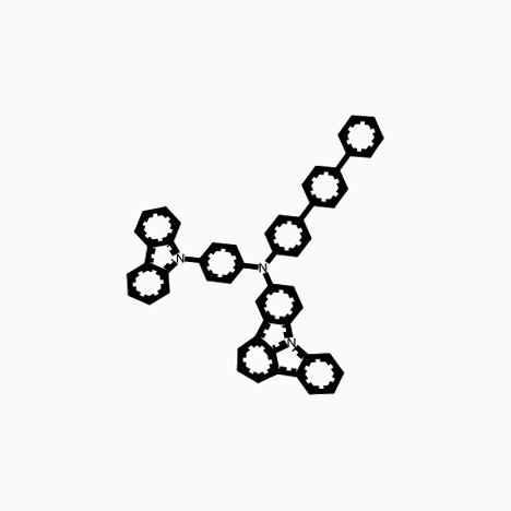 c1ccc(-c2ccc(-c3ccc(N(c4ccc(-n5c6ccccc6c6ccccc65)cc4)c4ccc5c(c4)c4cccc6c7ccccc7n5c64)cc3)cc2)cc1